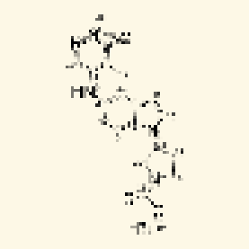 Cc1c(Nc2ccc3c(ccn3C3CCN(C(=O)OC(C)(C)C)C3)c2)cnn(C)c1=O